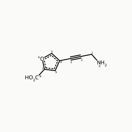 NCC#Cc1coc(C(=O)O)c1